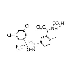 Cc1ccc(C2=NOC(c3cc(Cl)cc(Cl)c3)(C(F)(F)F)C2)cc1C(NC(=O)O)C(Cl)(Cl)Cl